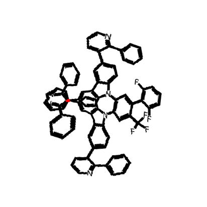 Fc1cccc(F)c1-c1cc(-n2c3ccc(-c4cccnc4-c4ccccc4)cc3c3cc(-c4cccnc4-c4ccccc4)ccc32)c(-n2c3ccc(-c4cccnc4-c4ccccc4)cc3c3cc(-c4cccnc4-c4ccccc4)ccc32)cc1C(F)(F)F